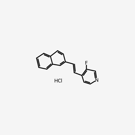 Cl.Fc1cnccc1C=Cc1ccc2ccccc2c1